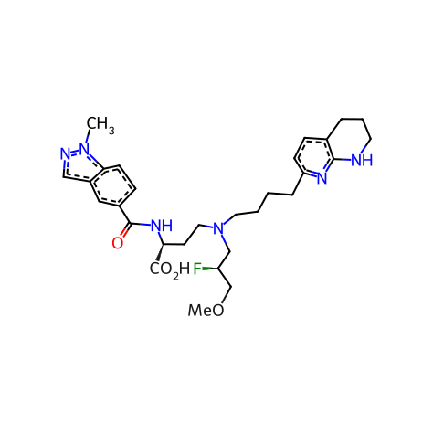 COC[C@@H](F)CN(CCCCc1ccc2c(n1)NCCC2)CC[C@H](NC(=O)c1ccc2c(cnn2C)c1)C(=O)O